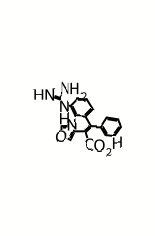 N=C(N)Nc1cccc(C(=C(C(=O)O)c2cocn2)c2ccccc2)c1